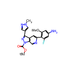 COc1cc(N)cc(F)c1-c1cc2c(-c3cnn(C)c3)nn(C(=O)OC(C)(C)C)c2cn1